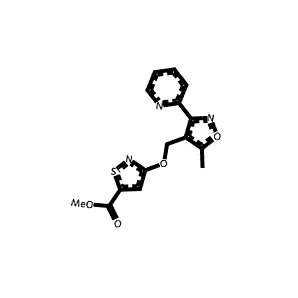 COC(=O)c1cc(OCc2c(-c3ccccn3)noc2C)ns1